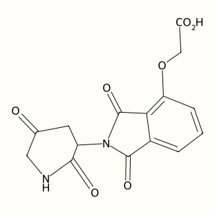 O=C(O)COc1cccc2c1C(=O)N(C1CC(=O)CNC1=O)C2=O